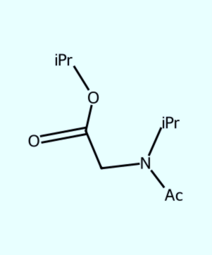 CC(=O)N(CC(=O)OC(C)C)C(C)C